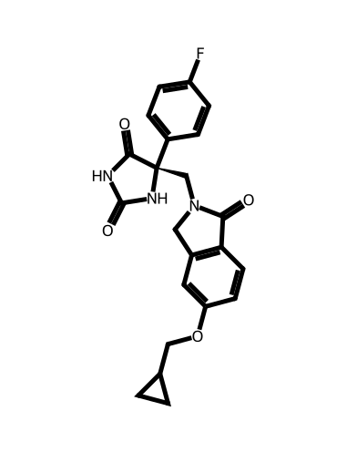 O=C1NC(=O)[C@](CN2Cc3cc(OCC4CC4)ccc3C2=O)(c2ccc(F)cc2)N1